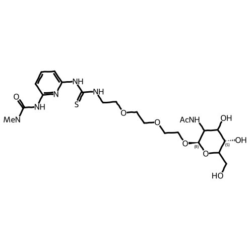 CNC(=O)Nc1cccc(NC(=S)NCCOCCOCCO[C@@H]2OC(CO)[C@@H](O)C(O)C2NC(C)=O)n1